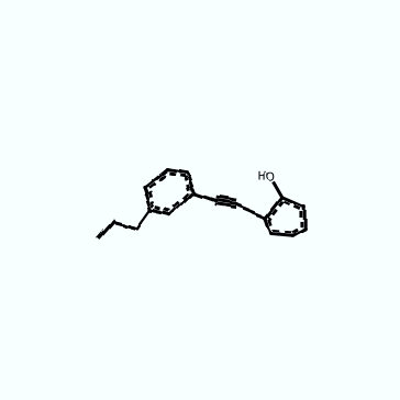 C[CH]Cc1cccc(C#Cc2ccccc2O)c1